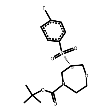 CC(C)(C)OC(=O)N1CCOC[C@@H](S(=O)(=O)c2ccc(F)cc2)C1